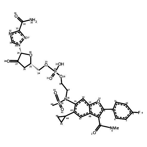 CNC(=O)c1c(-c2ccc(F)cc2)oc2cc(N(CCOP(=O)(O)OC[C@@H]3CC(=O)[C@H](n4cnc(C(N)=O)n4)O3)S(C)(=O)=O)c(C3CC3)cc12